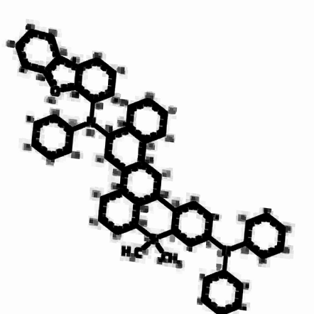 C[Si]1(C)c2cc(N(c3ccccc3)c3ccccc3)ccc2-c2cc3c4ccccc4c(N(c4ccccc4)c4cccc5c4oc4ccccc45)cc3c3cccc1c23